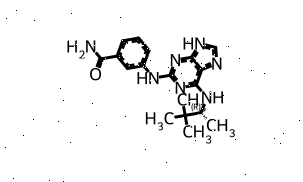 C[C@@H](Nc1nc(Nc2cccc(C(N)=O)c2)nc2[nH]cnc12)C(C)(C)C